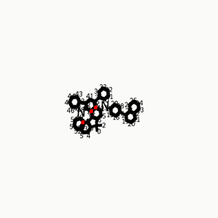 CC1(C)c2ccccc2-c2ccc(N(c3ccc(-c4cccc5ccccc45)cc3)c3ccccc3-c3ccc4c(c3)c3ccccc3n4-c3ccccc3)cc21